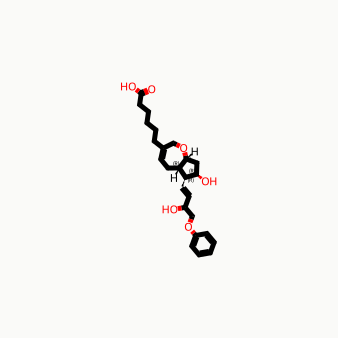 O=C(O)CCCCCC1=CC[C@@H]2[C@@H](C=CC(O)COc3ccccc3)[C@H](O)C[C@@H]2OC1